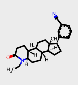 CCN1C(=O)CC[C@@H]2[C@H]3CC[C@]4(C)[C@@H](c5cccc(C#N)c5)CC[C@H]4[C@@H]3CC[C@H]21